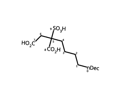 CCCCCCCCCCCCCCC(CC(=O)O)(C(=O)O)S(=O)(=O)O